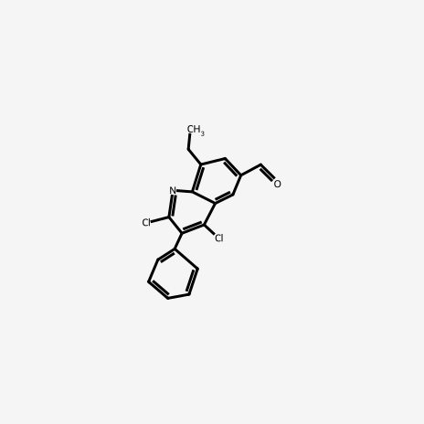 CCc1cc(C=O)cc2c(Cl)c(-c3ccccc3)c(Cl)nc12